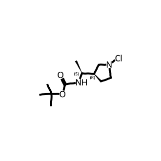 C[C@H](NC(=O)OC(C)(C)C)[C@@H]1CCN(Cl)C1